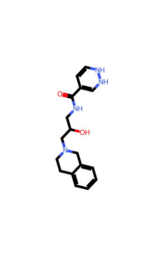 O=C(NCC(O)CN1CCc2ccccc2C1)C1=CNNC=C1